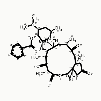 CC[C@H]1OC(=O)[C@H](C)C(=O)[C@H](C)[C@@H](O[C@@H]2O[C@H](C)C[C@H](N(C)C)[C@H]2OC(=O)c2ccccc2)[C@](C)(OC)C[C@@H](C)C(=O)[C@H](C)[C@H]2CC(=O)C[C@@]21C